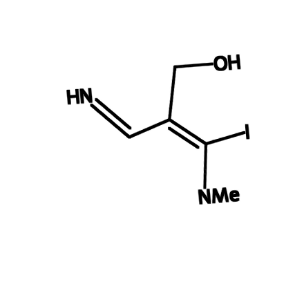 CN/C(I)=C(\C=N)CO